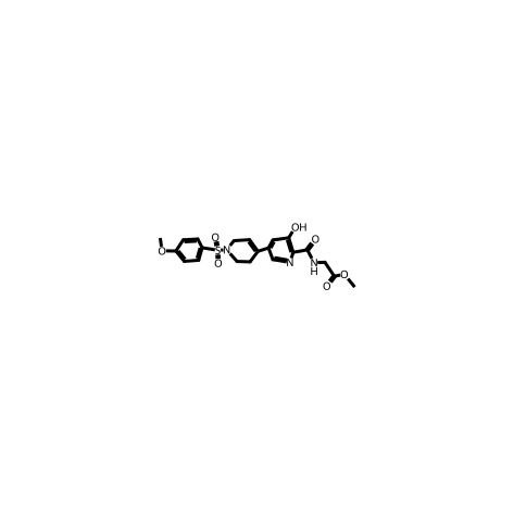 COC(=O)CNC(=O)c1ncc(C2=CCN(S(=O)(=O)c3ccc(OC)cc3)CC2)cc1O